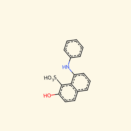 O=S(=O)(O)c1c(O)ccc2cccc(Nc3ccccc3)c12